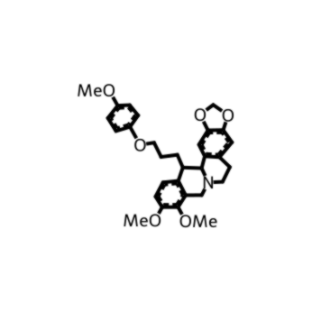 COc1ccc(OCCCC2c3ccc(OC)c(OC)c3CN3CCc4cc5c(cc4C23)OCO5)cc1